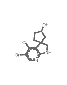 OC1CCC2(CNc3ncc(Br)c(Cl)c32)C1